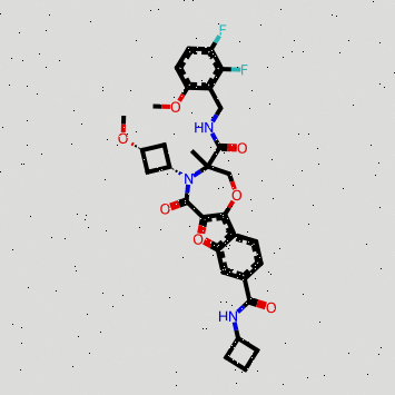 COc1ccc(F)c(F)c1CNC(=O)C1(C)COc2c(oc3cc(C(=O)NC4CCC4)ccc23)C(=O)N1[C@H]1C[C@@H](OC)C1